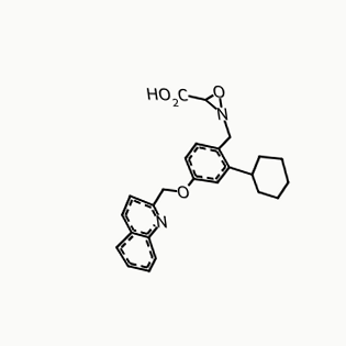 O=C(O)C1ON1Cc1ccc(OCc2ccc3ccccc3n2)cc1C1CCCCC1